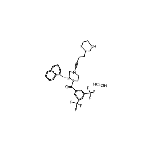 Cl.Cl.O=C(c1cc(C(F)(F)F)cc(C(F)(F)F)c1)N1CCN(C#CCCC2CNCCS2)C[C@H]1Cc1cccc2ccccc12